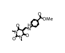 COC(=O)c1ccc(NC=C2C(=O)N(C)C(=O)N(C)C2=O)cc1